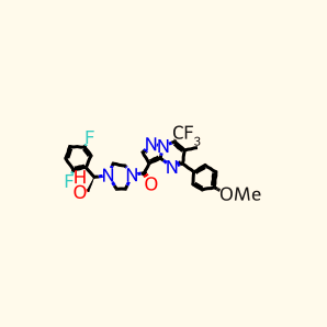 COc1ccc(-c2nc3c(C(=O)N4CCN([C@@H](CO)c5cc(F)ccc5F)CC4)cnn3c(C(F)(F)F)c2C)cc1